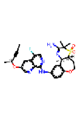 CC#C[C@H](C)Oc1cnc2c(Nc3ccc4c(c3)[C@@]3(C)N=C(N)C(C)(C)S(=O)(=O)[C@@H]3CCO4)ncc(F)c2c1